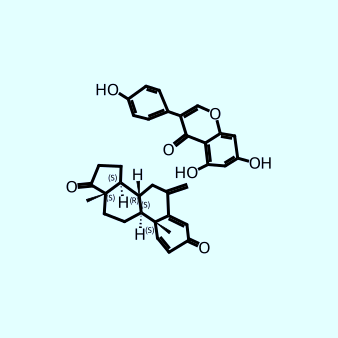 C=C1C[C@@H]2[C@H](CC[C@]3(C)C(=O)CC[C@@H]23)[C@@]2(C)C=CC(=O)C=C12.O=c1c(-c2ccc(O)cc2)coc2cc(O)cc(O)c12